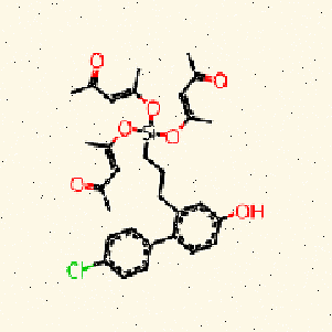 CC(=O)C=C(C)O[Si](CCCc1cc(O)ccc1-c1ccc(Cl)cc1)(OC(C)=CC(C)=O)OC(C)=CC(C)=O